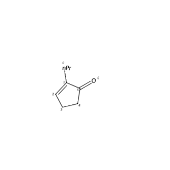 CCCC1=CCCC1=O